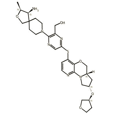 C[C@@H]1OCC2(CCN(c3ncc(Sc4ccnc5c4OC[C@@H]4C[C@H](O[C@H]6CCOC6)CN54)nc3CO)CC2)[C@@H]1N